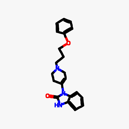 O=c1[nH]c2ccccc2n1C1=CCN(CCCOc2ccccc2)CC1